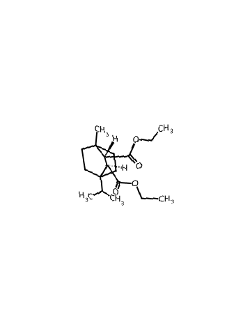 CCOC(=O)[C@@H]1[C@@H](C(=O)OCC)C2(C(C)C)CCC1(C)CC2